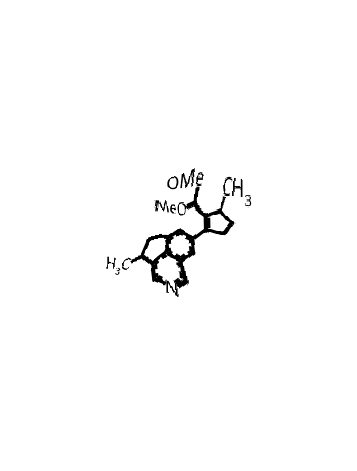 COC(OC)C1=C(c2cc3c4c(cncc4c2)C(C)C3)CC[C@@H]1C